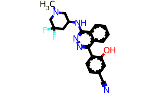 CN1CC(Nc2nnc(-c3ccc(C#N)cc3O)c3ccccc23)CC(F)(F)C1